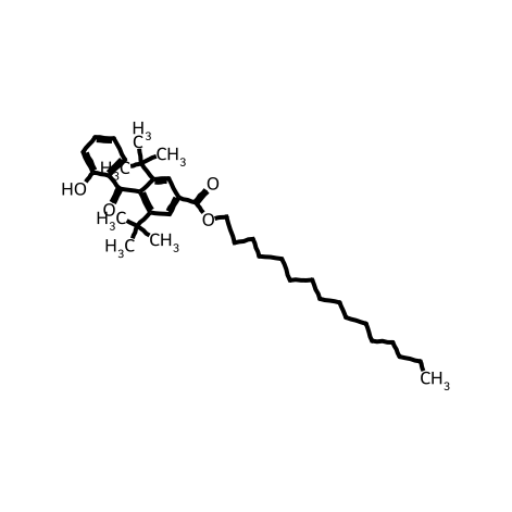 CCCCCCCCCCCCCCCCOC(=O)c1cc(C(C)(C)C)c(C(=O)c2ccccc2O)c(C(C)(C)C)c1